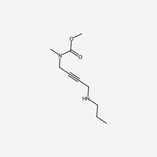 CCCNCC#CCN(C)C(=O)OC